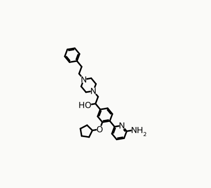 Nc1cccc(-c2ccc(C(O)CN3CCN(CCc4ccccc4)CC3)cc2OC2CCCC2)n1